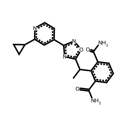 CC(c1nc(-c2ccnc(C3CC3)c2)no1)c1c(C(N)=O)cccc1C(N)=O